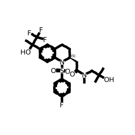 CN(CC(C)(C)O)C(=O)C[C@@H]1CCc2cc(C(C)(O)C(F)(F)F)ccc2N1S(=O)(=O)c1ccc(F)cc1